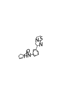 O=C(Nc1cccc(C2CN3CCSC3=N2)c1)C1C=CCC1